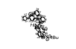 CC(C)(C)OC(=O)NCC(C(=O)NCC(NI)C(=O)OC(c1ccccc1)(c1ccc(C2CCCC2)cc1)c1ccccc1Cl)N1C(=O)C=CC1=O